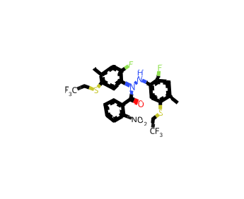 Cc1cc(F)c(NN(C(=O)c2ccccc2[N+](=O)[O-])c2cc(SCC(F)(F)F)c(C)cc2F)cc1SCC(F)(F)F